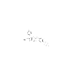 C=CCn1c(=O)c2cnc(Nc3ccc(N4CCN(C)CC4)c(C)c3)nc2n1-c1ccc(CO)cc1